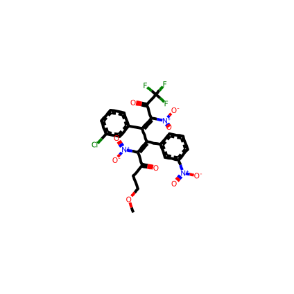 COCCC(=O)C(=C(C(=C(C(=O)C(F)(F)F)[N+](=O)[O-])c1cccc(Cl)c1)c1cccc([N+](=O)[O-])c1)[N+](=O)[O-]